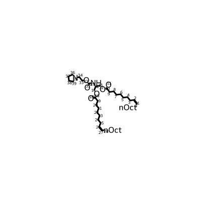 CCCCCCCC/C=C\CCCCCCCC(=O)OCC(COC(=O)CCCCCCC/C=C\CCCCCCCC)NC(=O)OCCN1CCCC1